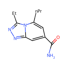 CCCc1cc(C(N)=O)cc2nnc(CC)n12